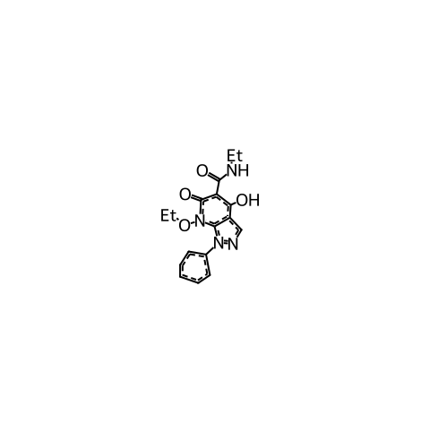 CCNC(=O)c1c(O)c2cnn(-c3ccccc3)c2n(OCC)c1=O